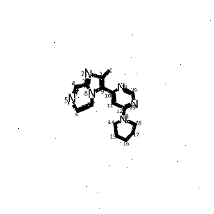 Cc1nc2cnccn2c1-c1cc(N2CCCCC2)ncn1